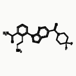 NCCc1c(C(N)=O)cccc1-n1ccc2cc(C(=O)N3CCC(F)(F)CC3)cnc21